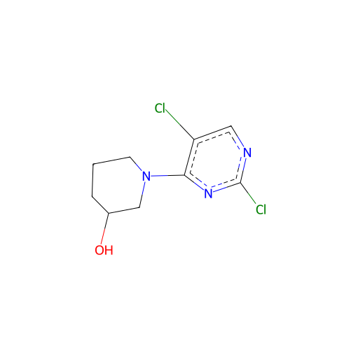 OC1CCCN(c2nc(Cl)ncc2Cl)C1